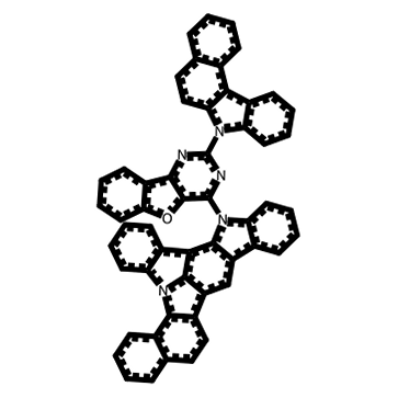 c1ccc2c(c1)ccc1c2c2ccccc2n1-c1nc(-n2c3ccccc3c3cc4c5ccc6ccccc6c5n5c6ccccc6c(c32)c45)c2oc3ccccc3c2n1